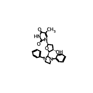 Cc1cn([C@H]2C[C@H](O)[C@@H](C3N(c4ccccc4)CCN3c3ccccc3)O2)c(=O)[nH]c1=O